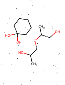 CC(O)COC(C)CO.OC1(O)CCCCC1